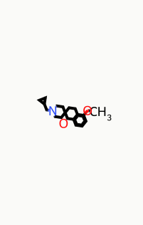 COc1cccc2c1CCC1(CCN(CC3CC3)CC1)C2=O